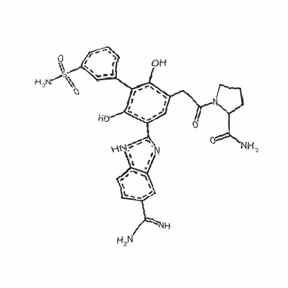 N=C(N)c1ccc2[nH]c(-c3cc(CC(=O)N4CCCC4C(N)=O)c(O)c(-c4cccc(S(N)(=O)=O)c4)c3O)nc2c1